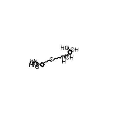 O=c1[nH]cc(-c2cccc(CCCCOCCCCCCNC[C@H](O)c3ccc(O)c(CO)c3)c2)c(=O)[nH]1